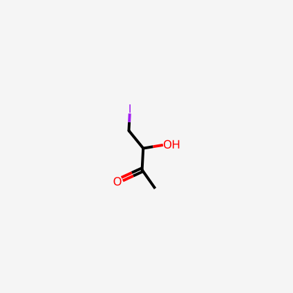 CC(=O)C(O)CI